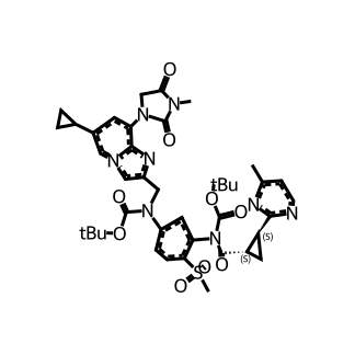 Cc1ccnc([C@H]2C[C@@H]2C(=O)N(C(=O)OC(C)(C)C)c2cc(N(Cc3cn4cc(C5CC5)cc(N5CC(=O)N(C)C5=O)c4n3)C(=O)OC(C)(C)C)ccc2S(C)(=O)=O)n1